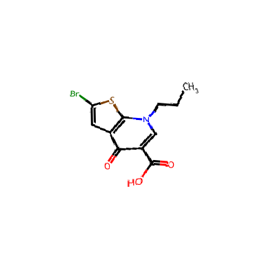 CCCn1cc(C(=O)O)c(=O)c2cc(Br)sc21